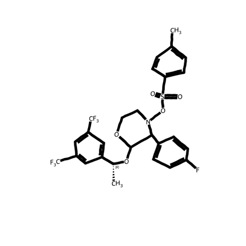 Cc1ccc(S(=O)(=O)ON2CCOC(O[C@H](C)c3cc(C(F)(F)F)cc(C(F)(F)F)c3)C2c2ccc(F)cc2)cc1